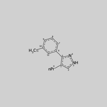 CCCc1c[nH]nc1-c1cccc(C)c1